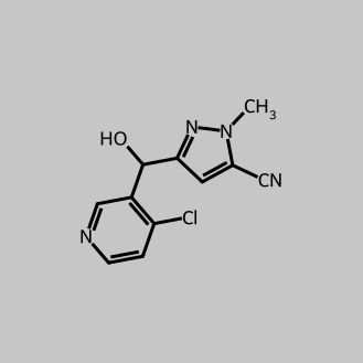 Cn1nc(C(O)c2cnccc2Cl)cc1C#N